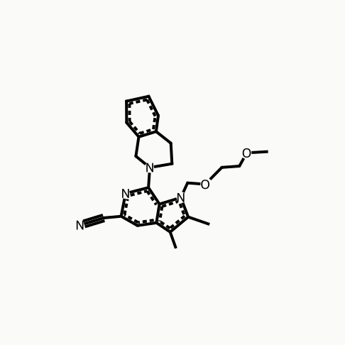 COCCOCn1c(C)c(C)c2cc(C#N)nc(N3CCc4ccccc4C3)c21